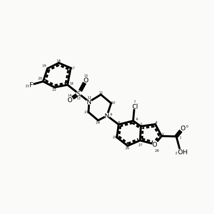 O=C(O)c1cc2c(Cl)c(N3CCN(S(=O)(=O)c4cccc(F)c4)CC3)ccc2o1